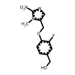 Cn1c(COc2ccc(CO)cc2F)cnc1[N+](=O)[O-]